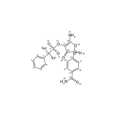 [2H]C([2H])(c1ccccc1)S(=O)(=O)OC1=C(N)O[C@]([2H])(c2ccc(C(N)=O)cc2)C1=O